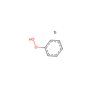 OOc1ccccc1.[Ti]